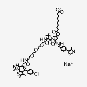 Cc1ncsc1-c1ccc(CNC(=O)[C@@H]2C[C@@H](OC(=O)CCCCCCCCC(=O)[O-])CN2C(=O)[C@@H](NC(=O)COCCOCCOCCNC(=O)C[C@@H]2N=C(c3ccc(Cl)cc3)c3c(sc(C)c3C)-n3c(C)nnc32)C(C)(C)C)cc1.[Na+]